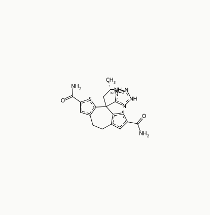 C[C@H](N)CC1(c2nn[nH]n2)c2sc(C(N)=O)cc2CCc2cc(C(N)=O)sc21